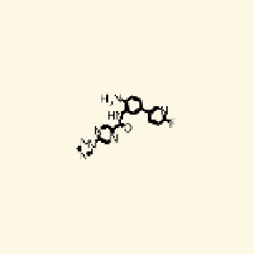 Nc1ccc(-c2ccc(F)nc2)cc1NC(=O)c1cnc(-n2cncn2)cn1